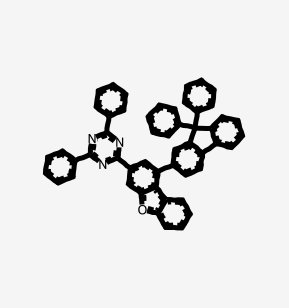 c1ccc(-c2nc(-c3ccccc3)nc(-c3cc(-c4ccc5c(c4)C(c4ccccc4)(c4ccccc4)c4ccccc4-5)c4c(c3)oc3ccccc34)n2)cc1